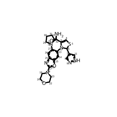 NC(=O)C1=CSC(c2cn[nH]c2)N1c1cc2oc(N3CCOCC3)nc2cc1N1CCCC1